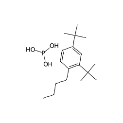 CCCCc1ccc(C(C)(C)C)cc1C(C)(C)C.OP(O)O